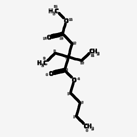 CCCCOC(=O)C(CC)(CC)CC(=O)OC